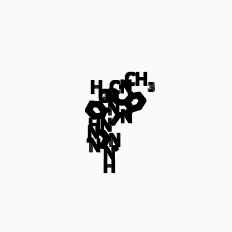 CN(C)c1cccc2nc(CNc3ncnc4[nH]cnc34)n(-c3ccccc3Cl)c(=O)c12